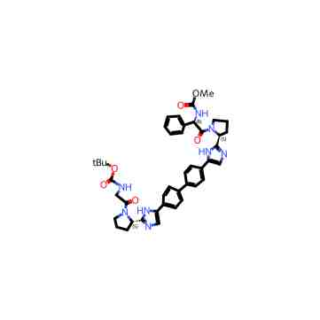 COC(=O)N[C@@H](C(=O)N1CCC[C@H]1c1ncc(-c2ccc(-c3ccc(-c4cnc([C@@H]5CCCN5C(=O)CNC(=O)OC(C)(C)C)[nH]4)cc3)cc2)[nH]1)c1ccccc1